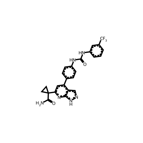 NC(=O)C1(c2cc(-c3ccc(NC(=O)Nc4cccc(C(F)(F)F)c4)cc3)c3cn[nH]c3n2)CC1